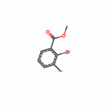 [CH2]c1cccc(C(=O)OC)c1Br